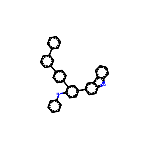 c1ccc(Nc2ccc(-c3ccc4[nH]c5ccccc5c4c3)cc2-c2ccc(-c3cccc(-c4ccccc4)c3)cc2)cc1